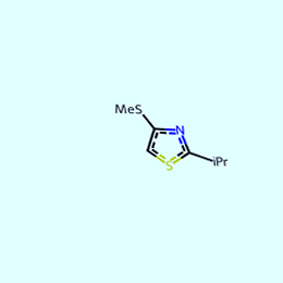 CSc1csc(C(C)C)n1